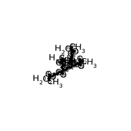 C=C(C)C(=O)OCCOC(=O)C(CCCC(CC(Br)C(=O)N(C)C)C(=O)OCCOC(=O)C(=C)C)CC(Br)C(=O)N(C)C